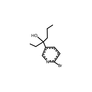 CCCC(O)(CC)c1ccc(Br)nc1